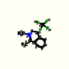 C[N+]1=C(C(F)(F)F)c2ccccc2CC1.F[B-](F)(F)F